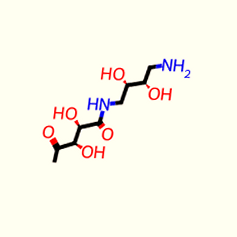 CC(=O)[C@H](O)[C@@H](O)C(=O)NC[C@H](O)[C@@H](O)CN